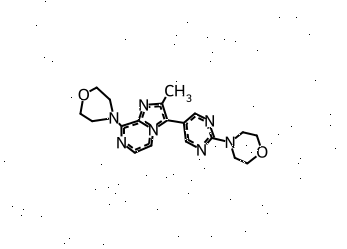 Cc1nc2c(N3CCOCC3)nccn2c1-c1cnc(N2CCOCC2)nc1